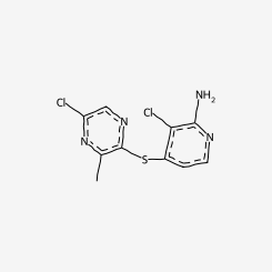 Cc1nc(Cl)cnc1Sc1ccnc(N)c1Cl